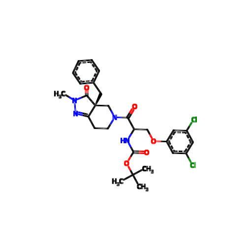 CN1N=C2CCN(C(=O)C(COc3cc(Cl)cc(Cl)c3)NC(=O)OC(C)(C)C)C[C@@]2(Cc2ccccc2)C1=O